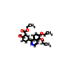 CCOC(=O)C1CC(c2nccc3c(OCC)c(OCC)ccc23)CCC1=O